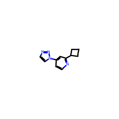 c1cn(-c2ccnc(C3CCC3)c2)nn1